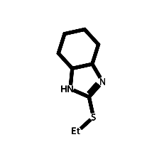 CCSC1=NC2CCCCC2N1